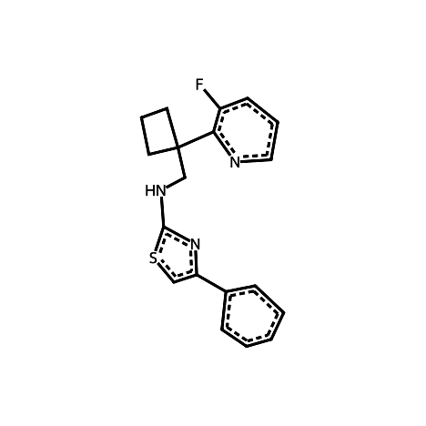 Fc1cccnc1C1(CNc2nc(-c3ccccc3)cs2)CCC1